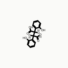 O=C(O)C(O)(c1ccccc1O)C(O)(C(=O)O)c1ccccc1O